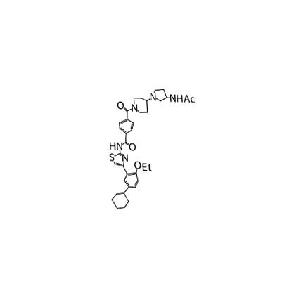 CCOc1ccc(C2CCCCC2)cc1-c1csc(NC(=O)c2ccc(C(=O)N3CCC(N4CCC(NC(C)=O)C4)CC3)cc2)n1